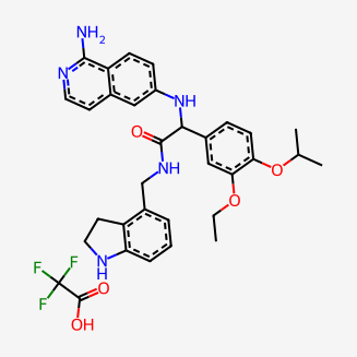 CCOc1cc(C(Nc2ccc3c(N)nccc3c2)C(=O)NCc2cccc3c2CCN3)ccc1OC(C)C.O=C(O)C(F)(F)F